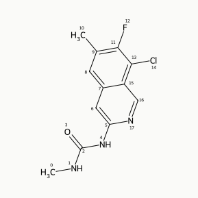 CNC(=O)Nc1cc2cc(C)c(F)c(Cl)c2cn1